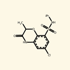 CC(C)NS(=O)(=O)c1cc(Cl)cc2c1OC(C)C(=O)N2